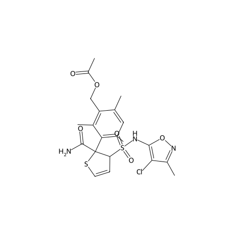 CC(=O)OCc1c(C)cc(C)c(C2(C(N)=O)SC=CC2S(=O)(=O)Nc2onc(C)c2Cl)c1C